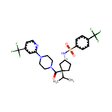 CC(C)[C@]1(C(=O)N2CCN(c3cc(C(F)(F)F)ccn3)CC2)CC[C@@H](NS(=O)(=O)c2ccc(C(F)(F)F)cc2)C1